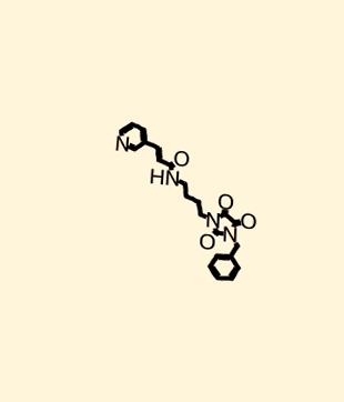 O=C(C=Cc1cccnc1)NCCCCN1C(=O)C(=O)N(Cc2ccccc2)C1=O